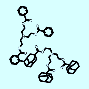 O=C(OCCN(CCOC(=O)c1ccccc1)CCOC(=O)c1ccccc1C1C2CC3CC1CC(C(=O)OCCN(CCOC(=O)C14CC5CC(CC(C5)C1)C4)CCOC(=O)C14CC5CC(CC(C5)C1)C4)(C3)C2)c1ccccc1